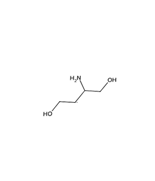 NC([CH]CO)CO